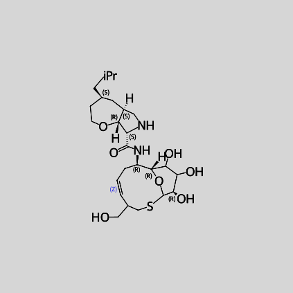 CC(C)C[C@@H]1CCO[C@@H]2[C@H](CN[C@@H]2C(=O)N[C@@H]2C/C=C\C(CO)CSC3O[C@H]2C(O)C(O)[C@H]3O)C1